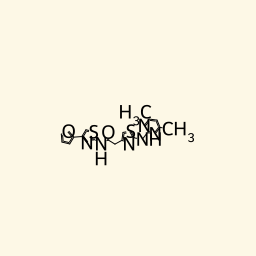 Cc1cc(C)nc(Nc2nc(CC(=O)Nc3nc(-c4ccco4)cs3)cs2)n1